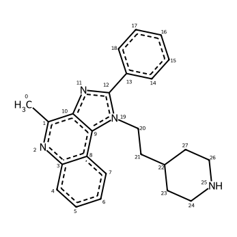 Cc1nc2ccccc2c2c1nc(-c1ccccc1)n2CCC1CCNCC1